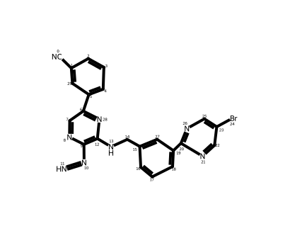 N#Cc1cccc(-c2cnc(N=N)c(NCc3cccc(-c4ncc(Br)cn4)c3)n2)c1